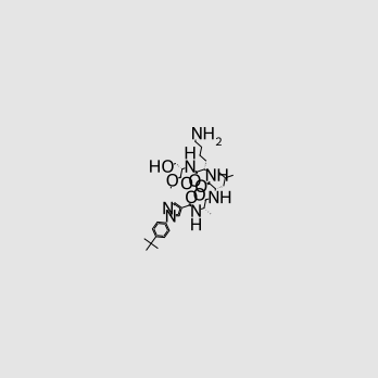 COC(=O)[C@H](CO)NC(=O)[C@H](CCCCN)NC(=O)[C@H](CC(C)C)NC(=O)[C@H](C)NC(=O)c1cnn(-c2ccc(C(C)(C)C)cc2)c1